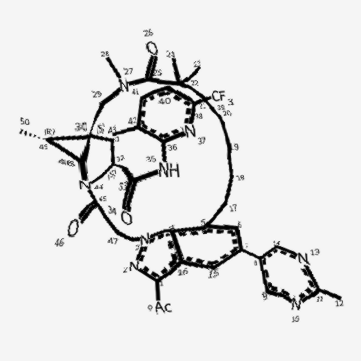 CC(=O)c1nn2c3c(cc(-c4cnc(C)nc4)cc13)CCCCCC(C)(C)C(=O)N(C)C[C@@]13C[C@@H](C(=O)Nc4nc(C(F)(F)F)ccc4C)N(C(=O)C2)C1[C@@H]3C